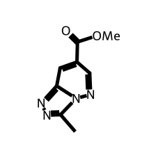 COC(=O)c1cnn2c(C)nnc2c1